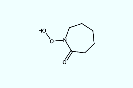 O=C1CCCCCN1OO